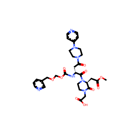 COC(=O)C[C@H]1C(=O)N(CC(=O)O)CCN1C(=O)[C@@H](CC(=O)N1CCN(c2ccncc2)CC1)NC(=O)OCOCc1cccnc1